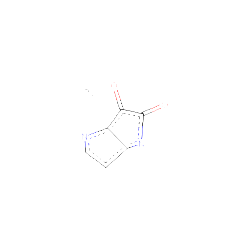 O=c1nc2ccnc-2c1=O.[Pt]